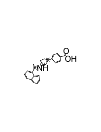 C[C@@H](N[C@H]1CC[C@@H](c2ccc(C(=O)O)cc2)C1)c1cccc2ccccc12